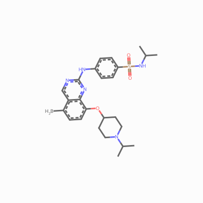 Bc1ccc(OC2CCN(C(C)C)CC2)c2nc(Nc3ccc(S(=O)(=O)NC(C)C)cc3)ncc12